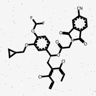 C=C/C(Cl)=C(C[C@H](OC(=O)CN1C(=O)c2ccc(C#N)cc2C1=O)c1ccc(OC(F)F)c(OCC2CC2)c1)\C(Cl)=C/C